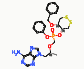 C[C@H](Cn1cnc2c(N)ncnc21)OCP(=O)(Oc1ccccc1)O[C@H]1CSSC[C@H]1OCc1ccccc1